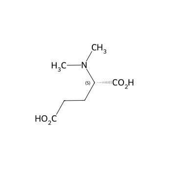 CN(C)[C@@H](CCC(=O)O)C(=O)O